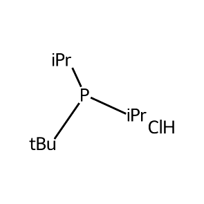 CC(C)P(C(C)C)C(C)(C)C.Cl